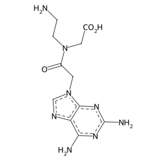 NCCN(CC(=O)O)C(=O)Cn1cnc2c(N)nc(N)nc21